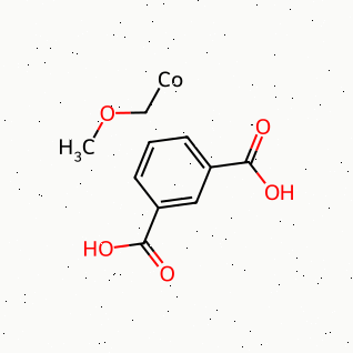 CO[CH2][Co].O=C(O)c1cccc(C(=O)O)c1